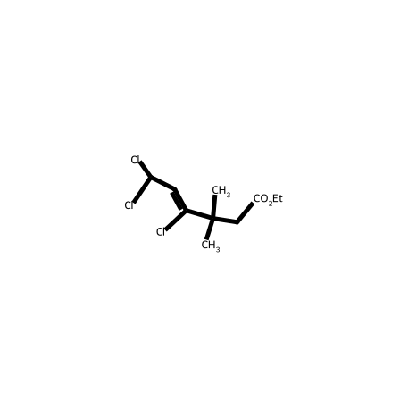 CCOC(=O)CC(C)(C)C(Cl)=CC(Cl)Cl